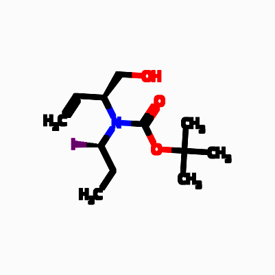 C=C[C@@H](CO)N(C(=O)OC(C)(C)C)[C@@H](I)CC